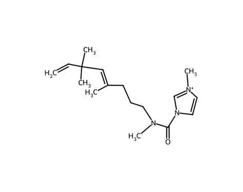 C=CC(C)(C)/C=C(\C)CCCN(C)C(=O)n1cc[n+](C)c1